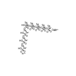 O=S(=O)(O)[Se-]=[Se].O=S(=O)(O)[Se-]=[Se].O=S(=O)(O)[Se-]=[Se].O=S(=O)(O)[Se-]=[Se].O=S(=O)(O)[Se-]=[Se].O=S(=O)(O)[Se-]=[Se].O=S(=O)(O)[Se-]=[Se].O=S(=O)(O)[Se-]=[Se].[Cu+2].[Ga+3].[In+3]